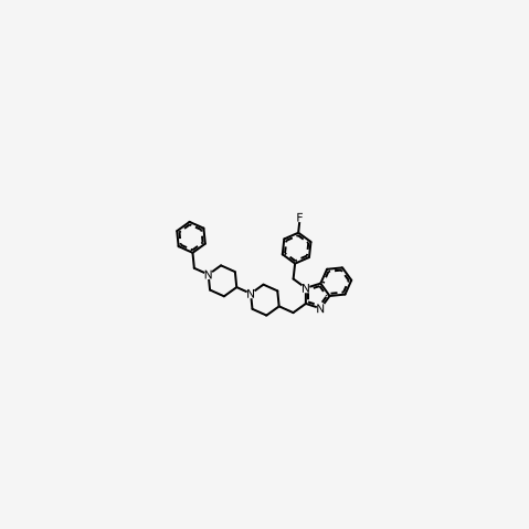 Fc1ccc(Cn2c(CC3CCN(C4CCN(Cc5ccccc5)CC4)CC3)nc3ccccc32)cc1